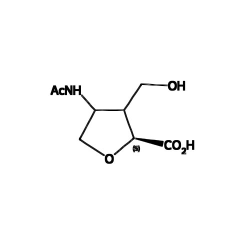 CC(=O)NC1CO[C@H](C(=O)O)C1CO